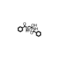 O=C(NCC(O)(O)NC(=O)c1ccccc1)c1ccccc1